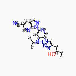 CCC(O)Cc1cn(-c2cnc(-n3ncc4cc(C#N)cnc43)cc2NC(C)C)nn1